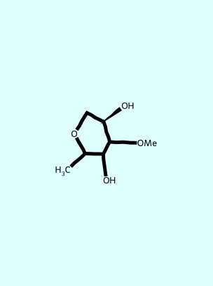 COC1C(O)C(C)OC[C@H]1O